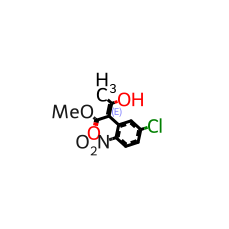 COC(=O)/C(=C(\C)O)c1cc(Cl)ccc1[N+](=O)[O-]